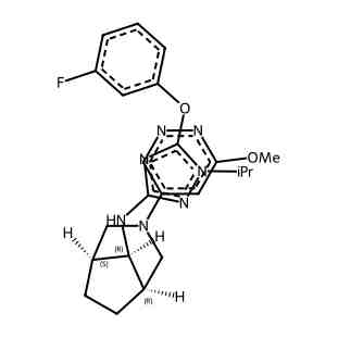 COc1cc(N2C[C@H]3CC[C@@H](C2)[C@H]3Nc2nc(Oc3cccc(F)c3)n(C(C)C)n2)cnn1